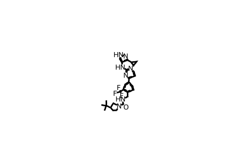 CC(C)(C)C1CCN(C(=O)NCc2ccc(-c3ccnc(Nc4c[nH]nc4C4CC4)n3)cc2C(F)(F)F)C1